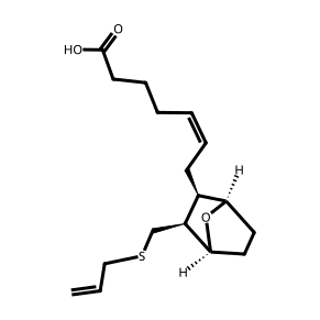 C=CCSC[C@H]1[C@@H](C/C=C\CCCC(=O)O)[C@H]2CC[C@@H]1O2